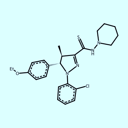 CCOc1ccc([C@@H]2[C@@H](C)C(C(=S)NN3CCCCC3)=NN2c2ccccc2Cl)cc1